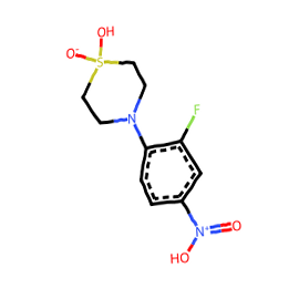 O=[N+](O)c1ccc(N2CCS([O-])(O)CC2)c(F)c1